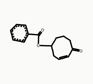 O=C1/C=C\CC(OC(=O)c2ccccc2)CCC1